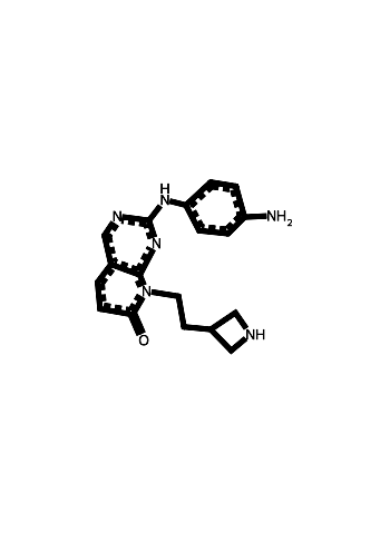 Nc1ccc(Nc2ncc3ccc(=O)n(CCC4CNC4)c3n2)cc1